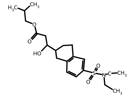 CCN(CC)S(=O)(=O)c1ccc2c(c1)CCC(C(O)CC(=O)OCC(C)C)C2